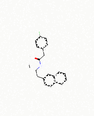 O=C(O)C[C@@H](Cc1ccc2ccccc2c1)NC(=O)Cc1ccc(Cl)cc1